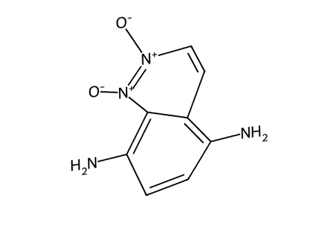 Nc1ccc(N)c2c1cc[n+]([O-])[n+]2[O-]